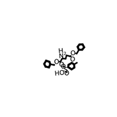 Cc1ccc(S(=O)(=O)O)cc1.NC(CCC(=O)OCc1ccccc1)C(=O)OCc1ccccc1